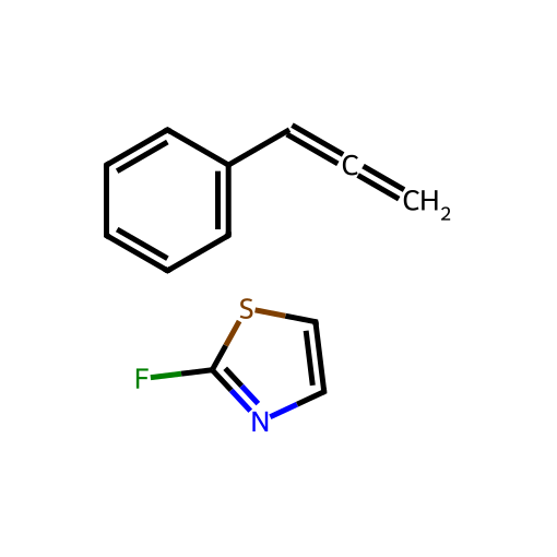 C=C=Cc1ccccc1.Fc1nccs1